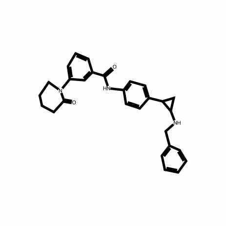 O=C(Nc1ccc(C2CC2NCc2ccccc2)cc1)c1cccc(N2CCCCC2=O)c1